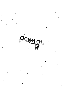 Cc1ccncc1-c1cnc2nc(COc3cccc(F)c3)cn2c1